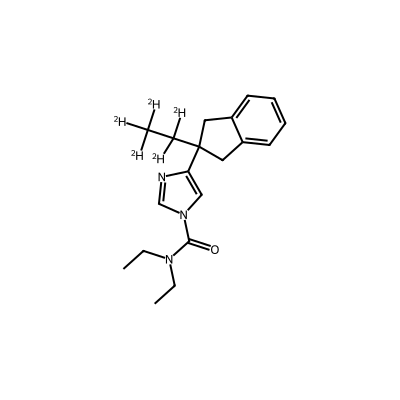 [2H]C([2H])([2H])C([2H])([2H])C1(c2cn(C(=O)N(CC)CC)cn2)Cc2ccccc2C1